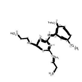 NCCNc1nc(NCCS(=O)(=O)O)nc(Nc2cc(S(=O)(=O)O)ccc2S(=O)(=O)O)n1